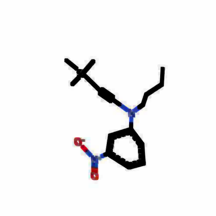 CCCCN(C#C[Si](C)(C)C)c1cccc([N+](=O)[O-])c1